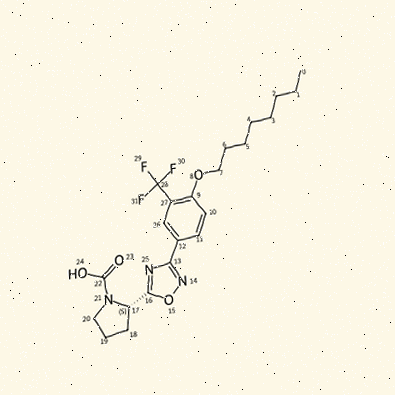 CCCCCCCCOc1ccc(-c2noc([C@@H]3CCCN3C(=O)O)n2)cc1C(F)(F)F